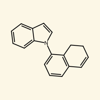 C1=Cc2cccc(-n3ccc4ccccc43)c2CC1